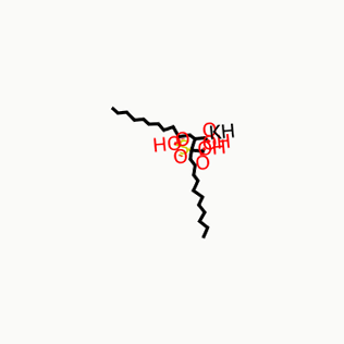 CCCCCCCCCCCC(C(=O)O)C(CCCCCCCCCCC)(C(=O)O)S(=O)(=O)O.[KH]